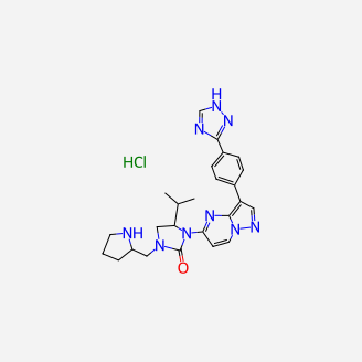 CC(C)C1CN(CC2CCCN2)C(=O)N1c1ccn2ncc(-c3ccc(-c4nc[nH]n4)cc3)c2n1.Cl